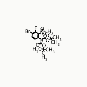 CC(C)(C)OC(=O)N(C(=O)OC(C)(C)C)c1ccc(Br)c(F)c1[N+](=O)[O-]